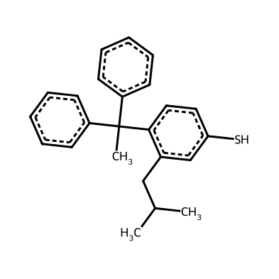 CC(C)Cc1cc(S)ccc1C(C)(c1ccccc1)c1ccccc1